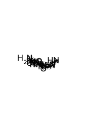 CNC1C2CN(Cc3ccc(-n4ccc(NC(=O)N5CCN(C(=O)C(C)(C)N)C[C@H]5C)nc4=O)cc3)CC21